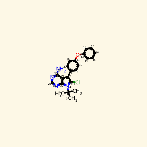 CC(C)(C)n1c(Cl)c(-c2ccc(Oc3ccccc3)cc2)c2c(N)ncnc21